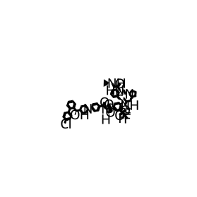 O=C(CNC1CC1)NCCN1CCCC1CC(CSc1ccccc1)Nc1ccc(S(=O)(=O)NC(=O)c2ccc(N3CCC([C@@H](O)c4ccccc4-c4ccc(Cl)cc4)CC3)cc2)cc1S(=O)(=O)C(F)(F)F